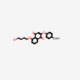 COc1ccc(OC2=CC(=O)c3c(OCCCCBr)cccc3C2=O)cc1